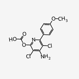 COc1ccc(-c2nc(OC(=O)O)c(Cl)c(N)c2Cl)cc1